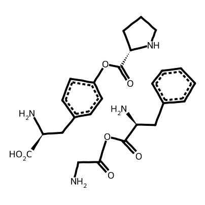 NCC(=O)OC(=O)[C@@H](N)Cc1ccccc1.N[C@@H](Cc1ccc(OC(=O)[C@@H]2CCCN2)cc1)C(=O)O